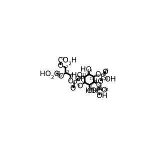 O=C(O)OCC(COP(=O)(O)OC1C(O)C(O)C(OP(=O)(O)O)C(OP(=O)(O)O)C1O)OC(=O)O